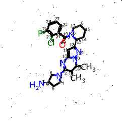 CC1C(N2CC[C@H](N)C2)=Nc2cc([C@@H]3CCCCN3C(=O)c3cccc(F)c3Cl)nn2C1C